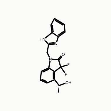 C[C@H](O)c1cccc2c1C(F)(F)C(=O)N2Cc1nc2ccccc2[nH]1